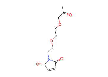 CC(=O)COCCOCCN1C(=O)C=CC1=O